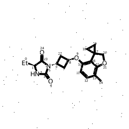 CC[C@@H]1NC(=O)N([C@H]2C[C@H](Oc3ccc(C)c4c3C3(CC3)CO4)C2)C1=O